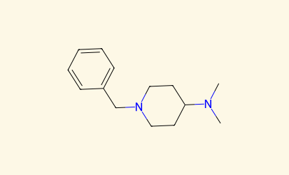 CN(C)C1CCN(Cc2ccccc2)CC1